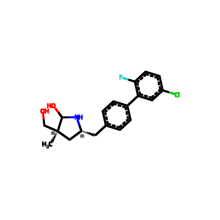 C[C@@]1(CO)C[C@@H](Cc2ccc(-c3cc(Cl)ccc3F)cc2)NC1O